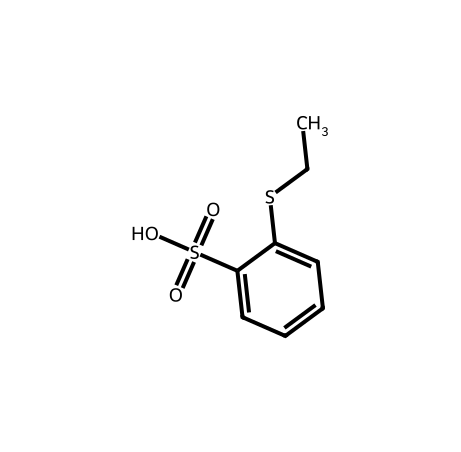 CCSc1ccccc1S(=O)(=O)O